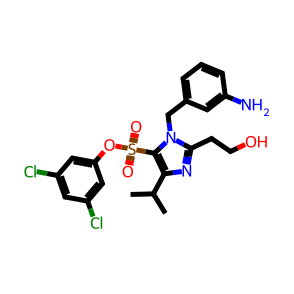 CC(C)c1nc(CCO)n(Cc2cccc(N)c2)c1S(=O)(=O)Oc1cc(Cl)cc(Cl)c1